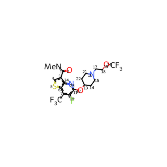 CNC(=O)c1csc2c(C(F)(F)F)c(F)c(OC3CCN(CCOC(F)(F)F)CC3)nc12